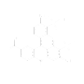 N=c1ccc2c(-c3cc(C(=O)O)ccc3C(=O)O)c3ccc(N)c(S(=O)(=O)O)c3oc-2c1S(=O)(=O)O